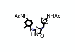 CC(=O)Nc1ccc(/N=C2/NC(=O)/C(=C/c3cnc(NC(C)=O)s3)S2)c(C)c1